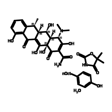 CC1(C)OC(=O)NC1=O.CCCCCCCCc1ccc(O)cc1.C[C@H]1c2cccc(O)c2C(=O)C2=C(O)[C@]3(O)C(=O)C(C(N)=O)=C(O)[C@@H](N(C)C)[C@@H]3[C@@H](O)[C@@H]21.O